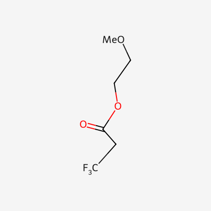 COCCOC(=O)CC(F)(F)F